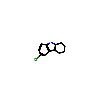 Clc1ccc2c(c1)C1CCCCC1N2